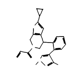 C=CC(=O)N1Cc2sc(C3CC3)cc2C(c2ccccc2-c2cn(CC)nc2C(F)(F)F)C1